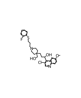 COc1ccc2ncc(Cl)c(C(O)CCC3(CO)CCN(CCCSc4ccccc4F)CC3)c2c1